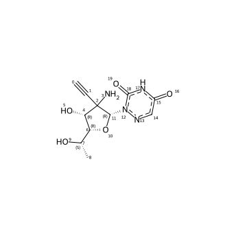 C#CC1(N)[C@@H](O)[C@@H]([C@H](C)O)O[C@H]1n1ncc(=O)[nH]c1=O